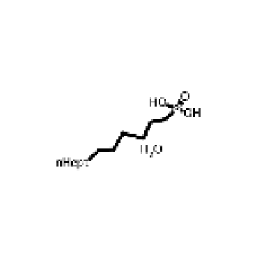 CCCCCCCCCCCCCP(=O)(O)O.O